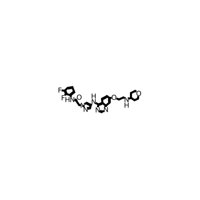 O=C(Cn1cc(Nc2ncnc3cc(OCCNC4CCOCC4)ccc23)cn1)Nc1cccc(F)c1F